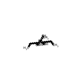 CCCC/C=C\CCCCCCC(CCN(CCC(CCCCCC/C=C\CCCC)C(=O)O)C(=O)CSCCN(C)C)C(=O)O